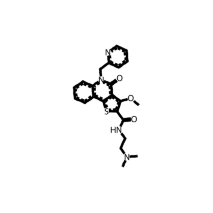 COc1c(C(=O)NCCN(C)C)sc2c1c(=O)n(Cc1ccccn1)c1ccccc21